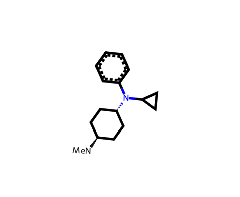 CN[C@H]1CC[C@H](N(c2ccccc2)C2CC2)CC1